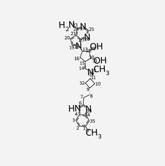 Cc1ccc2[nH]c(CC[C@H]3C[C@@H](N(C)C[C@H]4C[C@@H](n5ccc6c(N)ncnc65)[C@H](O)[C@@H]4O)C3)nc2c1